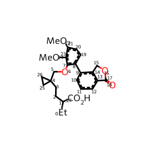 CCC(CCC1(COc2c(-c3cccc4c3COC4=O)ccc(OC)c2OC)CC1)C(=O)O